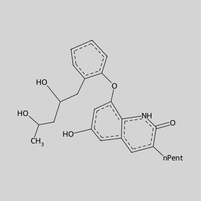 CCCCCc1cc2cc(O)cc(Oc3ccccc3CC(O)CC(C)O)c2[nH]c1=O